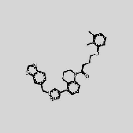 Cc1cccc(OCCCC(=O)N2CCCc3c(-c4cnn(Cc5ccc6ncsc6c5)c4)cccc32)c1C